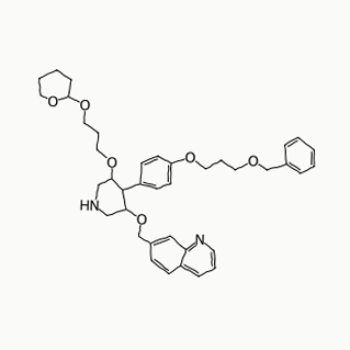 c1ccc(COCCCOc2ccc(C3C(OCCCOC4CCCCO4)CNCC3OCc3ccc4cccnc4c3)cc2)cc1